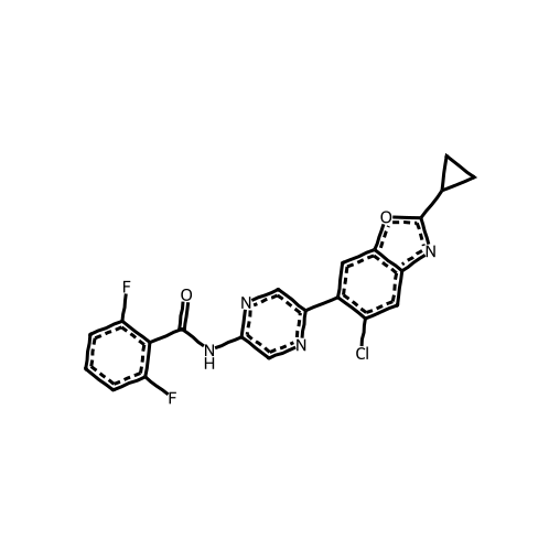 O=C(Nc1cnc(-c2cc3oc(C4CC4)nc3cc2Cl)cn1)c1c(F)cccc1F